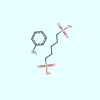 Cc1ccccc1.O=S(=O)(O)CCCCCS(=O)(=O)O